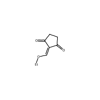 CCOC=C1C(=O)CCC1=O